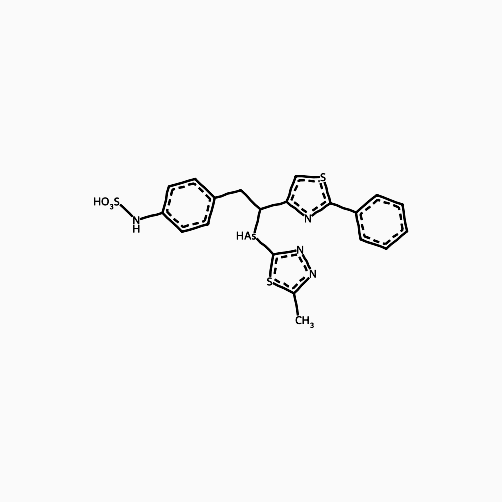 Cc1nnc([AsH]C(Cc2ccc(NS(=O)(=O)O)cc2)c2csc(-c3ccccc3)n2)s1